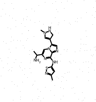 Cc1cc(Nc2nc(C(C)N)cn3c(C4=CN(C)NC4)cnc23)sn1